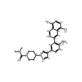 CN(C)C(=O)N1CCC(n2cc(-c3cnc(N)c(-c4cc5c(Cl)ccc(F)c5cn4)c3)cn2)CC1